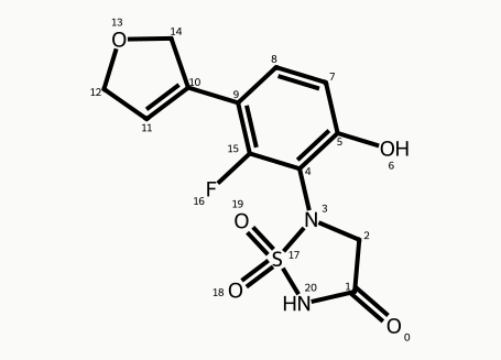 O=C1CN(c2c(O)ccc(C3=CCOC3)c2F)S(=O)(=O)N1